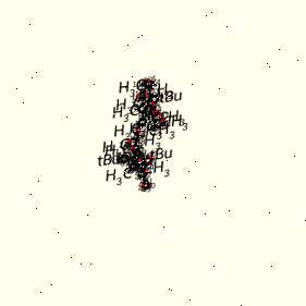 Cc1cc2c3c(c1)N(c1ccc(C(C)(C)CCC4(C)CCC(C)(C)c5cc6c7c(sc6cc54)B4c5cc(C(C)(C)C)ccc5N(c5ccc(-c6ccccc6)cc5C)c5cc(C)cc(c54)N7c4ccc(C(C)(C)C)cc4)cc1)c1c(sc4cc5c(cc14)C(C)(C)CCC5(C)C)B3c1cc(C(C)(C)C)ccc1N2c1cc(-c2c(C)cccc2C)ccc1C